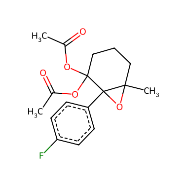 CC(=O)OC1(OC(C)=O)CCCC2(C)OC21c1ccc(F)cc1